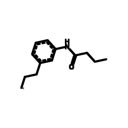 [CH2]CCc1cccc(NC(=O)CCC)c1